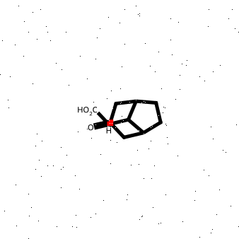 O=C1CC2CCC(C1)C2NC(=O)O